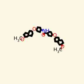 COc1ccc2cc(Oc3ccc(NC(=O)c4ccc(Oc5ccc6cc(OC)ccc6c5)cc4)cc3)ccc2c1